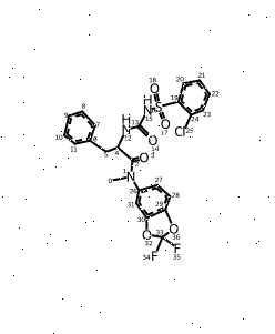 CN(C(=O)C(Cc1ccccc1)NC(=O)NS(=O)(=O)c1ccccc1Cl)c1ccc2c(c1)OC(F)(F)O2